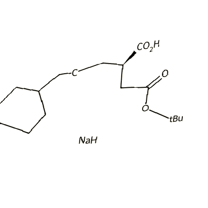 CC(C)(C)OC(=O)C[C@@H](CCCC1CCCCC1)C(=O)O.[NaH]